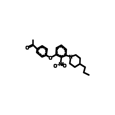 CCCC1CCN(c2cccc(Oc3ccc(C(C)=O)cc3)c2[N+](=O)[O-])CC1